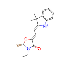 CCN1C(=O)C(=CC=C2Nc3ccccc3C2(C)C)OC1=S